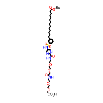 CC(C)(C)OC(=O)CCCCCCCCCCCCCc1cccc(S(=O)(=O)Nc2cnc(C(=O)NCCOCCOCC(=O)NCCOCCOCC(=O)O)nc2)c1